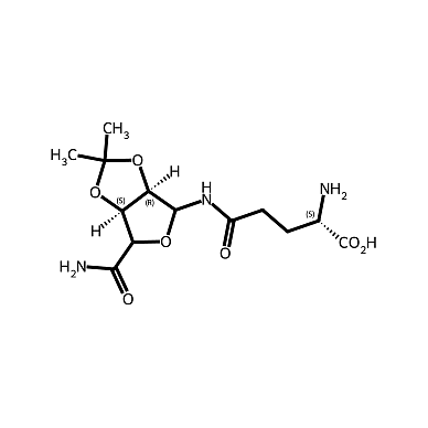 CC1(C)O[C@@H]2C(C(N)=O)OC(NC(=O)CC[C@H](N)C(=O)O)[C@@H]2O1